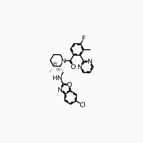 Cc1c(F)ccc(C(=O)N2CCC[C@@H](C)[C@H]2CNc2nc3ccc(Cl)cc3o2)c1-c1ncccn1